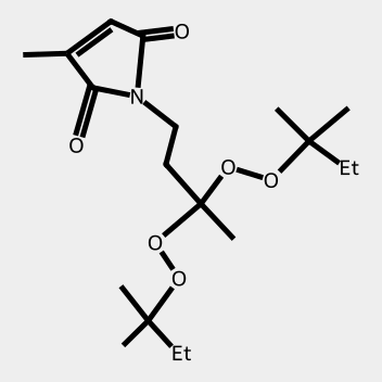 CCC(C)(C)OOC(C)(CCN1C(=O)C=C(C)C1=O)OOC(C)(C)CC